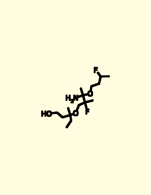 CCC(C)(CCO)OCC(C)(F)C(C)(N)OCCC(C)F